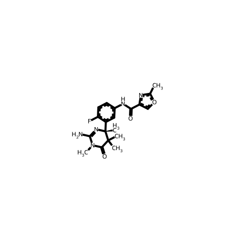 Cc1nc(C(=O)Nc2ccc(F)c([C@@]3(C)N=C(N)N(C)C(=O)C3(C)C)c2)co1